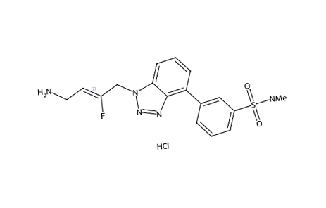 CNS(=O)(=O)c1cccc(-c2cccc3c2nnn3C/C(F)=C/CN)c1.Cl